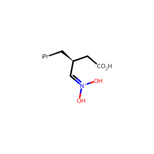 CC(C)C[C@H](C=[N+](O)O)CC(=O)O